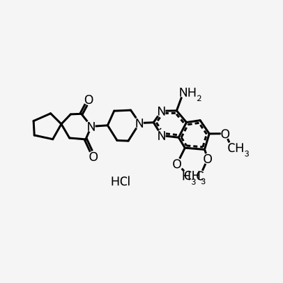 COc1cc2c(N)nc(N3CCC(N4C(=O)CC5(CCCC5)CC4=O)CC3)nc2c(OC)c1OC.Cl